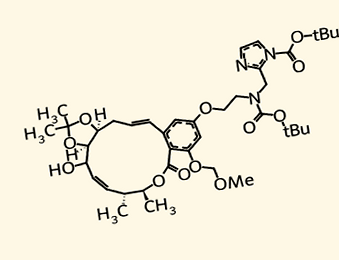 COCOc1cc(OCCN(Cc2nccn2C(=O)OC(C)(C)C)C(=O)OC(C)(C)C)cc2c1C(=O)O[C@@H](C)[C@H](C)/C=C\C(O)[C@H]1OC(C)(C)O[C@H]1C/C=C/2